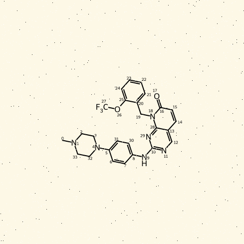 CN1CCN(c2ccc(Nc3ncc4ccc(=O)n(Cc5ccccc5OC(F)(F)F)c4n3)cc2)CC1